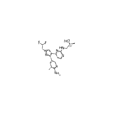 Cc1cc(-c2nn(CC(F)F)cc2-c2ccnc(NC[C@H](C)O)n2)cnc1N